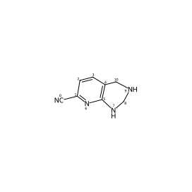 N#Cc1ccc2c(n1)NCNC2